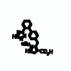 CCCCN1NCC(C(=O)O)=C1Cc1ccc(-c2ccccc2-c2nn[nH]n2)cc1